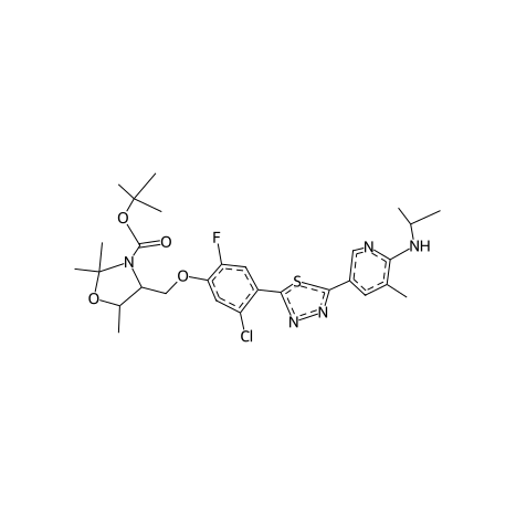 Cc1cc(-c2nnc(-c3cc(F)c(OCC4C(C)OC(C)(C)N4C(=O)OC(C)(C)C)cc3Cl)s2)cnc1NC(C)C